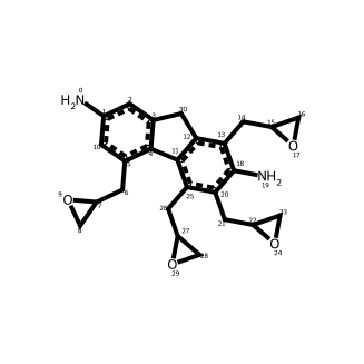 Nc1cc2c(c(CC3CO3)c1)-c1c(c(CC3CO3)c(N)c(CC3CO3)c1CC1CO1)C2